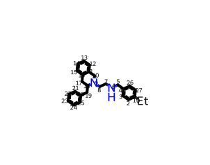 CCc1ccc(CNCCN2Cc3ccccc3CC2Cc2ccccc2)cc1